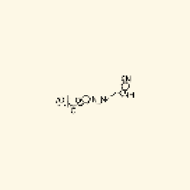 N#Cc1ccc2[nH]cc(CCCCN3CCN(c4ccc5oc(C(=O)NCC6CCCO6)cc5c4)CC3)c2c1